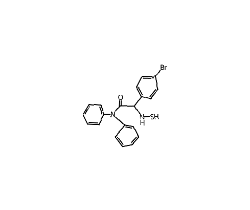 O=C(C(NS)c1ccc(Br)cc1)N(c1ccccc1)c1ccccc1